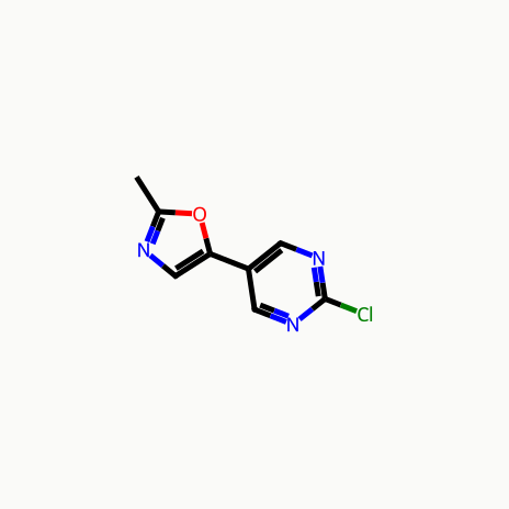 Cc1ncc(-c2cnc(Cl)nc2)o1